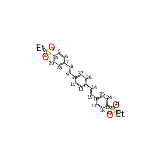 CCS(=O)(=O)c1ccc(C=Cc2ccc(C=Cc3ccc(S(=O)(=O)CC)cc3)cc2)cc1